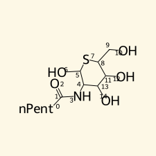 CCCCCC(=O)NC1C(O)SC(CO)C(O)C1O